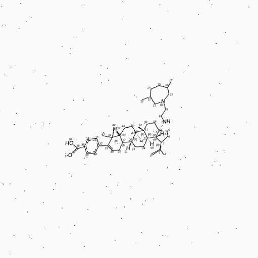 C=C(C)[C@@H]1CC[C@]2(NCCN3CC(C)CCC(C)C3)CC[C@]3(C)[C@H](CC[C@@H]4[C@@]5(C)CC=C(c6ccc(C(=O)O)cc6)C(C)(C)[C@@H]5CC[C@]43C)[C@@H]12